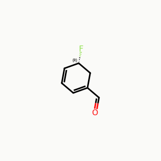 O=CC1=CC=C[C@H](F)C1